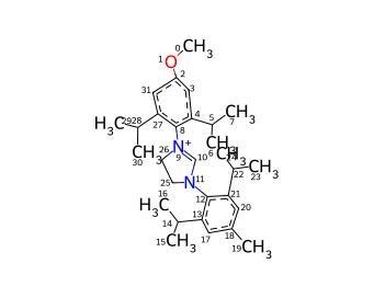 COc1cc(C(C)C)c([N+]2=CN(c3c(C(C)C)cc(C)cc3C(C)C)CC2)c(C(C)C)c1